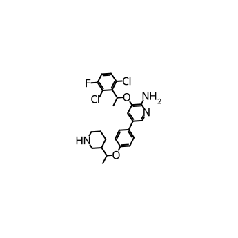 CC(Oc1cc(-c2ccc(OC(C)C3CCCNC3)cc2)cnc1N)c1c(Cl)ccc(F)c1Cl